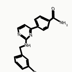 NC(=O)c1ccc(-c2ccnc(NCc3cccc(Br)c3)n2)cc1